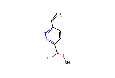 C=Cc1ccc(C(O)OC)nn1